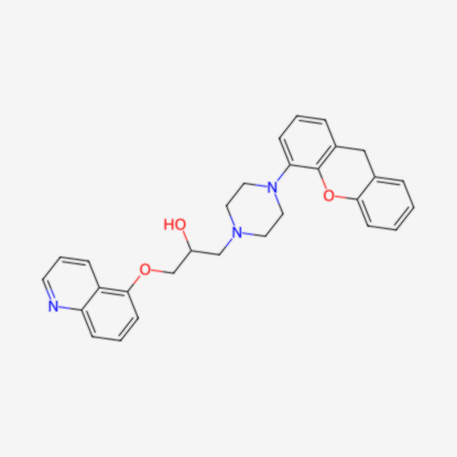 OC(COc1cccc2ncccc12)CN1CCN(c2cccc3c2Oc2ccccc2C3)CC1